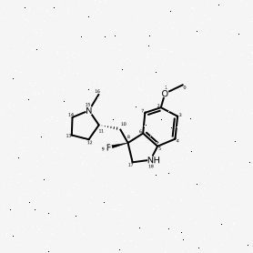 COc1ccc2c(c1)[C@@](F)(C[C@@H]1CCCN1C)CN2